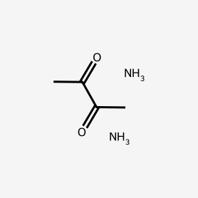 CC(=O)C(C)=O.N.N